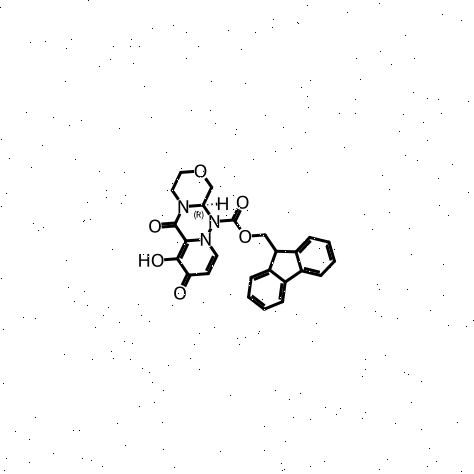 O=C1c2c(O)c(=O)ccn2N(C(=O)OCC2c3ccccc3-c3ccccc32)[C@@H]2COCCN12